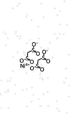 O=S([O-])CS(=O)[O-].O=S([O-])CS(=O)[O-].[Ni+4]